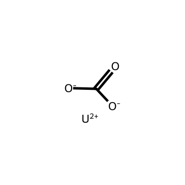 O=C([O-])[O-].[U+2]